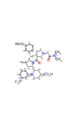 COc1ccc([C@@H]2CN(CC(=O)N(C)C)C[C@@]2(F)C(=O)N2C[C@H](c3ccc(C(F)(F)F)cc3N3CCC(C(=O)O)CC3)[C@@H](I)C2)cc1